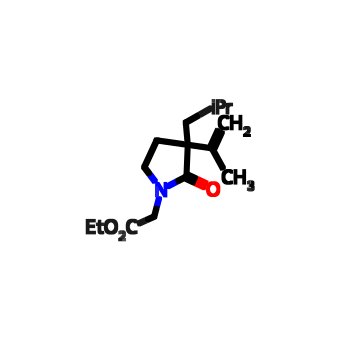 C=C(C)C1(CC(C)C)CCN(CC(=O)OCC)C1=O